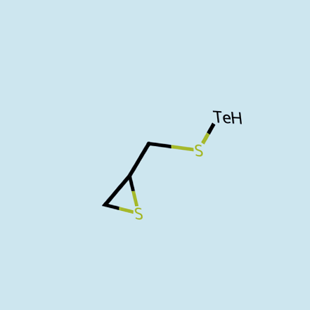 [TeH]SCC1CS1